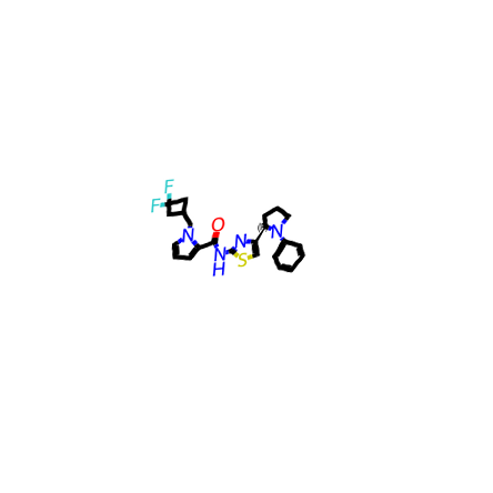 O=C(Nc1nc([C@H]2CCCN2c2ccccc2)cs1)c1cccn1CC1CC(F)(F)C1